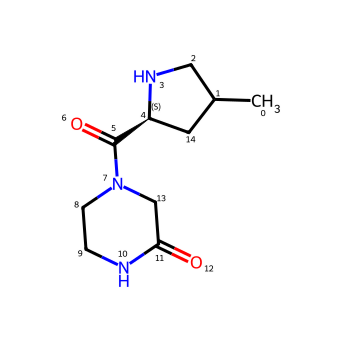 CC1CN[C@H](C(=O)N2CCNC(=O)C2)C1